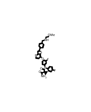 COCCNCc1ccc(-c2cc3nccc(Oc4ccc(N(C(=O)C5(C(N)=O)CC5)c5ccc(F)cc5)cc4F)c3s2)cc1